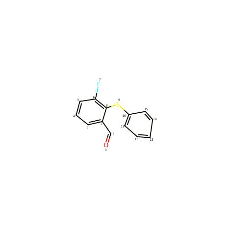 O=Cc1cccc(F)c1Sc1ccccc1